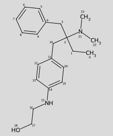 CCC(Cc1ccccc1)(Cc1ccc(NCCO)cc1)N(C)C